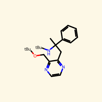 CC(C)(C)NC(C)(Cc1nccnc1COC(C)(C)C)c1ccccc1